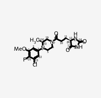 COc1cc(N2CCN(C(=O)CC[C@H]3NC(=O)NC3=O)C[C@@H]2C)cc(Cl)c1F